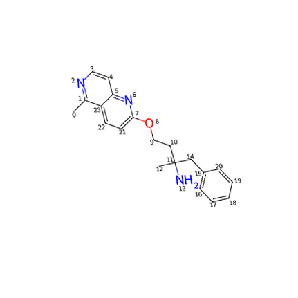 Cc1nccc2nc(OCCC(C)(N)Cc3ccccc3)ccc12